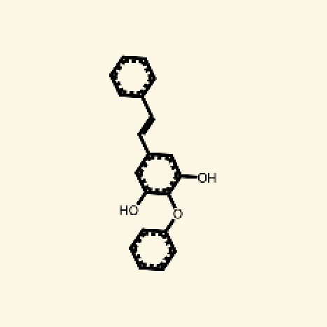 Oc1cc(/C=C/c2ccccc2)cc(O)c1Oc1ccccc1